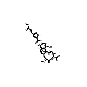 C=C1O[C@H](C(C)O)[C@H](C)/C=C(\C)[C@]23O[C@@H]4[C@H](C=CC2C[C@@H]1OC)[C@H]3[C@H](O)[C@@H](C)[C@H]4OC(=O)c1cc(/C=C/C(=O)OC)c[nH]1